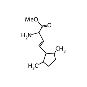 COC(=O)C(N)/C=C/C1C(C)CCC1C